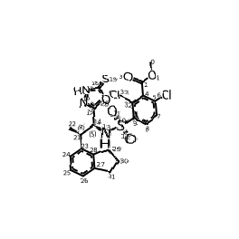 COC(=O)c1c(Cl)ccc(S(=O)(=O)N[C@H](c2n[nH]c(=S)o2)[C@H](C)c2cccc3c2CCC3)c1Cl